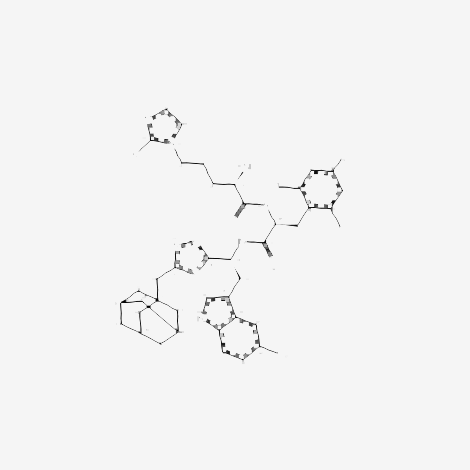 Cc1cc(O)cc(C)c1C[C@H](NC(=O)[C@H](N)CCCn1ccnc1N)C(=O)N[C@@H](Cc1c[nH]c2ccc(F)cc12)c1nc(CC23CC4CC(CC(C4)C2)C3)no1